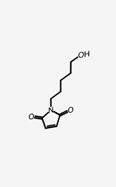 O=C1C=CC(=O)N1CCCCCO